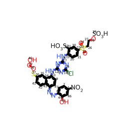 O=[N+]([O-])c1ccc(/N=N\c2ccc(Nc3nc(Cl)nc(Nc4ccc(S(=O)(=O)CCOS(=O)(=O)O)cc4S(=O)(=O)O)n3)c3cc(SOOO)ccc23)c(O)c1